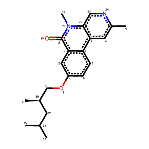 Cc1cc2c3ccc(OC[C@H](C)CC(C)C)cc3c(=O)n(C)c2cn1